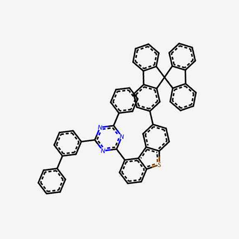 c1ccc(-c2cccc(-c3nc(-c4ccccc4)nc(-c4cccc5sc6ccc(-c7ccc8c(c7)C7(c9ccccc9-c9ccccc97)c7ccccc7-8)cc6c45)n3)c2)cc1